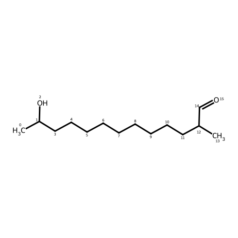 CC(O)CCCCCCCCCC(C)C=O